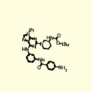 CC(C)n1cnc2c(Nc3cccc(NC(=O)c4ccc(N)cc4)c3)nc(N3CCCC(NC(=O)OC(C)(C)C)C3)nc21